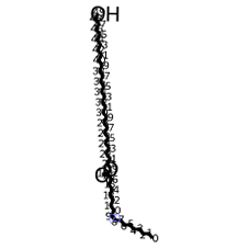 CCCCCCCC/C=C\CCCCCCCC(=O)OCCCCCCCCCCCCCCCCCCCCCCCCCCCCCO